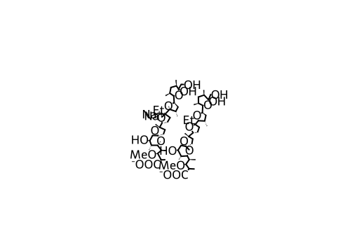 CC[C@@]1([C@@H]2O[C@@H]([C@H]3O[C@@](O)(CO)[C@H](C)C[C@@H]3C)C[C@@H]2C)CC[C@H]([C@]2(C)CC[C@]3(C[C@H](O)[C@@H](C)[C@@H]([C@@H](C)[C@@H](OC)C(C)C(=O)[O-])O3)O2)O1.CC[C@@]1([C@@H]2O[C@@H]([C@H]3O[C@@](O)(CO)[C@H](C)C[C@@H]3C)C[C@@H]2C)CC[C@H]([C@]2(C)CC[C@]3(C[C@H](O)[C@@H](C)[C@@H]([C@@H](C)[C@@H](OC)C(C)C(=O)[O-])O3)O2)O1.[Na+].[Na+]